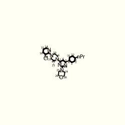 CCCc1ccc(-c2cc(N3CCN(c4ncccc4Cl)C[C@H]3C)nc(N3CCOCC3)n2)cc1